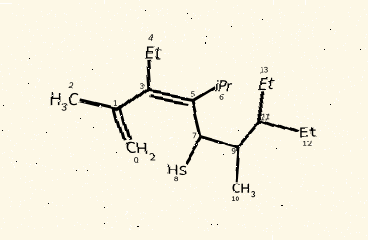 C=C(C)/C(CC)=C(/C(C)C)C(S)C(C)C(CC)CC